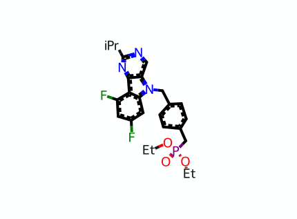 CCOP(=O)(Cc1ccc(Cn2c3cnc(C(C)C)nc3c3c(F)cc(F)cc32)cc1)OCC